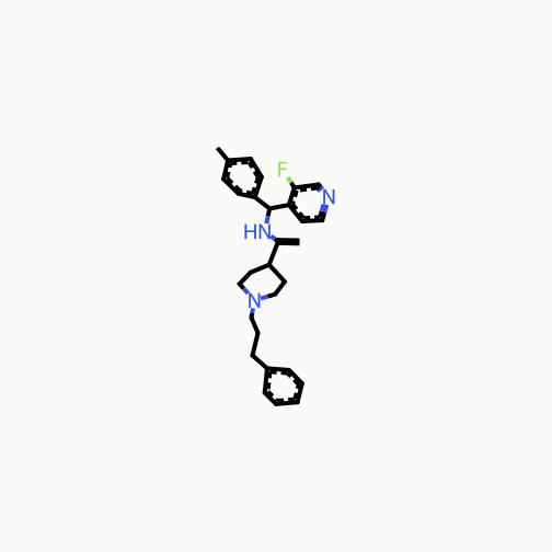 C=C(NC(c1ccc(C)cc1)c1ccncc1F)C1CCN(CCCc2ccccc2)CC1